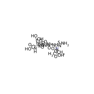 CC(C)(O/N=C(\C(=O)N[C@H]1CN(C(=O)NS(=O)(=O)n2nc(-c3cc(=O)c(O)c[nH]3)n(C[C@H](O)CO)c2=O)C1=O)C1CSC(N)=N1)C(=O)O